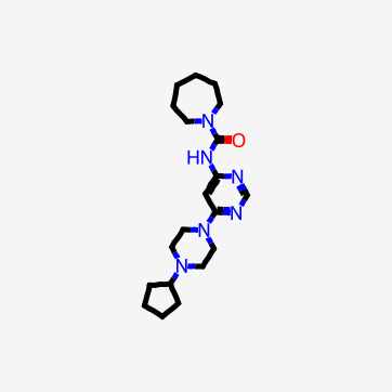 O=C(Nc1cc(N2CCN(C3CCCC3)CC2)ncn1)N1CCCCCC1